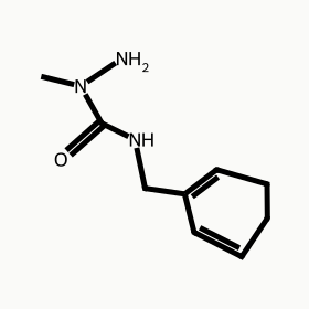 CN(N)C(=O)NCC1=CCCC=C1